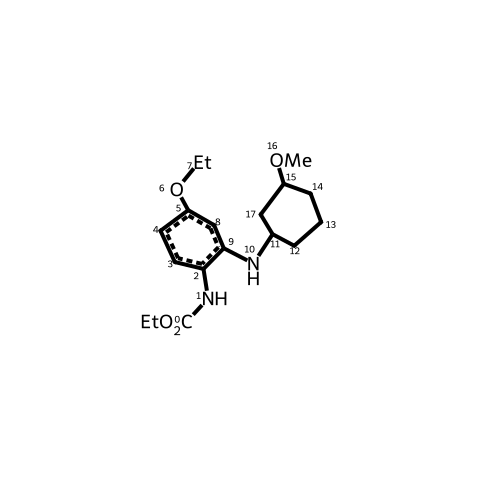 CCOC(=O)Nc1ccc(OCC)cc1NC1CCCC(OC)C1